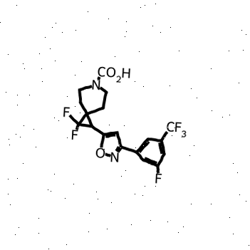 O=C(O)N1CCC2(CC1)C(c1cc(-c3cc(F)cc(C(F)(F)F)c3)no1)C2(F)F